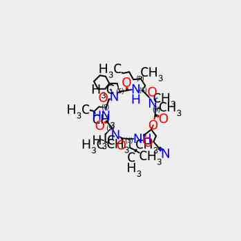 CCCC[C@@H](C)C[C@@H]1NC(=O)[C@H](CC2CCCCC2)N(C)C(=O)[C@H](CC(C)C)NC(=O)[C@H](CC(C)C)N(C)C(=O)[C@H](CC(C)(C)C)NC(=O)C(CCC#N)OC(=O)[C@H](C)N(C)C1=O